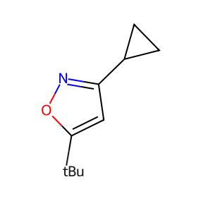 CC(C)(C)c1cc(C2CC2)no1